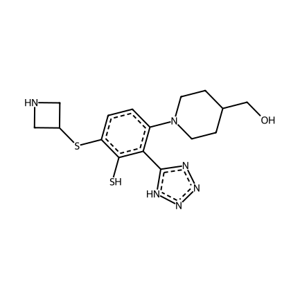 OCC1CCN(c2ccc(SC3CNC3)c(S)c2-c2nnn[nH]2)CC1